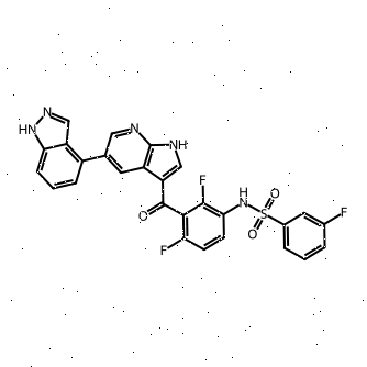 O=C(c1c(F)ccc(NS(=O)(=O)c2cccc(F)c2)c1F)c1c[nH]c2ncc(-c3cccc4[nH]ncc34)cc12